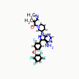 C=C(/C=N\C)C(=O)N1CCCC(n2nc(-c3ccc(Oc4c(F)c(F)cc(F)c4F)cc3F)c3c(N)ncnc32)C1